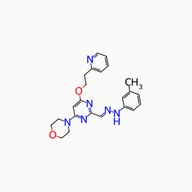 Cc1cccc(NN=Cc2nc(OCCc3ccccn3)cc(N3CCOCC3)n2)c1